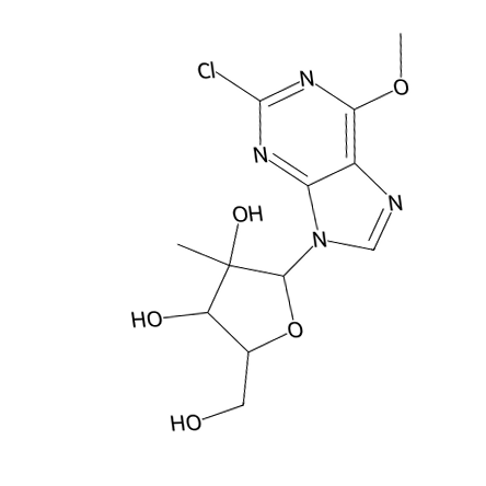 COc1nc(Cl)nc2c1ncn2C1OC(CO)C(O)C1(C)O